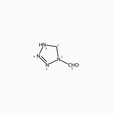 O=[C]N1CNN=N1